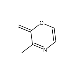 C=C1OC=CN=C1C